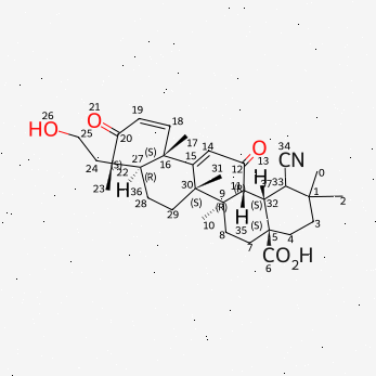 CC1(C)CC[C@]2(C(=O)O)CC[C@]3(C)[C@H](C(=O)C=C4[C@@]5(C)C=CC(=O)[C@@](C)(CCO)[C@@H]5CC[C@]43C)[C@@H]2C1C#N